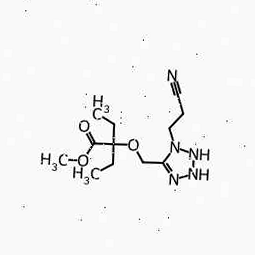 CCC(CC)(OCC1=NNNN1CCC#N)C(=O)OC